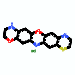 Cl.c1csc2cc3nc4cc5occ[nH]c5cc4oc3cc2n1